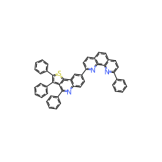 c1ccc(-c2ccc3ccc4ccc(-c5ccc6nc(-c7ccccc7)c7c(-c8ccccc8)c(-c8ccccc8)sc7c6c5)nc4c3n2)cc1